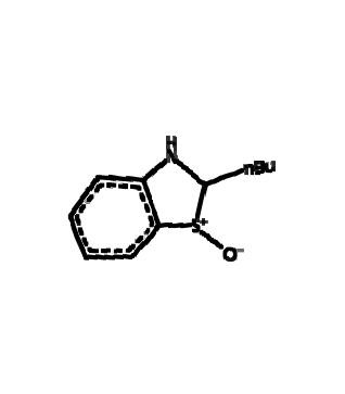 CCCCC1Nc2ccccc2[S+]1[O-]